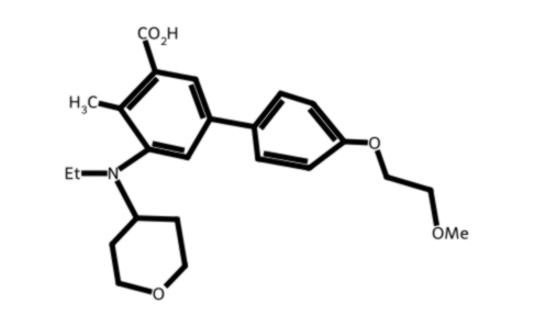 CCN(c1cc(-c2ccc(OCCOC)cc2)cc(C(=O)O)c1C)C1CCOCC1